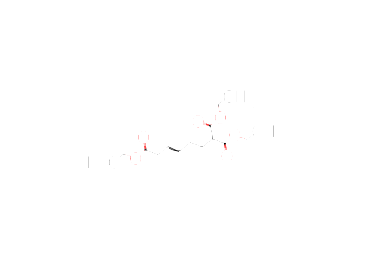 CCOC(=O)CC=CCCC(C(=O)OCC)C(=O)OCC